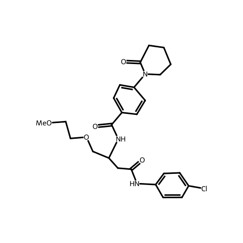 COCCOCC(CC(=O)Nc1ccc(Cl)cc1)NC(=O)c1ccc(N2CCCCC2=O)cc1